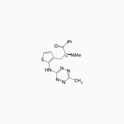 CN[C@@H](Cc1ccsc1Nc1nnc(C)nn1)C(=O)C(C)C